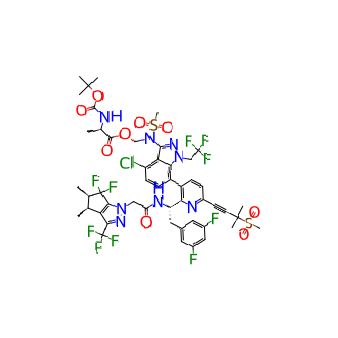 C[C@@H]1c2c(C(F)(F)F)nn(CC(=O)N[C@@H](Cc3cc(F)cc(F)c3)c3nc(C#CC(C)(C)S(C)(=O)=O)ccc3-c3ccc(Cl)c4c(N(COC(=O)[C@@H](C)NC(=O)OC(C)(C)C)S(C)(=O)=O)nn(CC(F)(F)F)c34)c2C(F)(F)[C@@H]1C